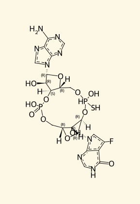 Nc1ncnc2c1ncn2[C@@H]1O[C@@H]2CO[PH](O)(S)O[C@@H]3[C@H](O)[C@@H](COP(=O)(O)O[C@H]2[C@H]1O)O[C@H]3n1cc(F)c2c(=O)[nH]cnc21